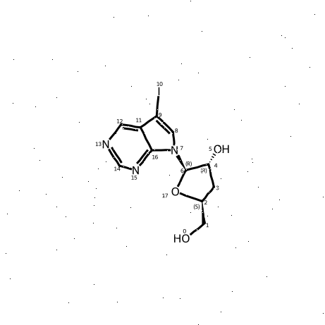 OC[C@@H]1C[C@@H](O)[C@H](n2cc(I)c3cncnc32)O1